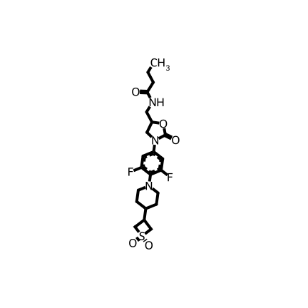 CCCC(=O)NCC1CN(c2cc(F)c(N3CCC(C4CS(=O)(=O)C4)CC3)c(F)c2)C(=O)O1